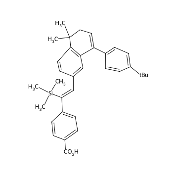 CC(C)(C)c1ccc(C2=CCC(C)(C)c3ccc(/C=C(/c4ccc(C(=O)O)cc4)[Si](C)(C)C)cc32)cc1